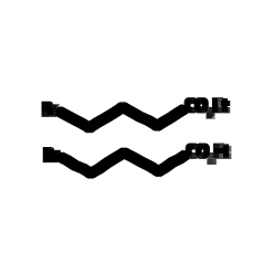 CCOC(=O)CCCBr.CCOC(=O)CCCBr